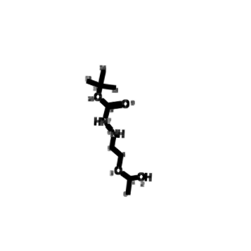 CC(O)OCCNNC(=O)OC(C)(C)C